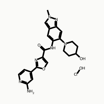 Cn1cc2cc(NC(=O)c3coc(-c4ccnc(N)c4)n3)c(N3CCC(O)CC3)cc2n1.OCl